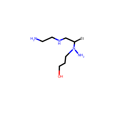 CCC(CNCCN)N(N)CCCO